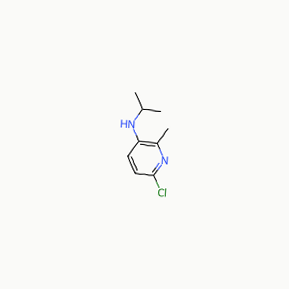 Cc1nc(Cl)ccc1NC(C)C